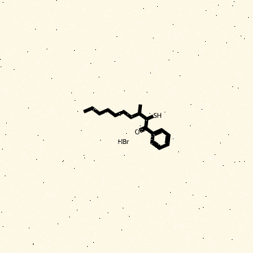 Br.CCCCCCCC(C)C(S)C(=O)c1ccccc1